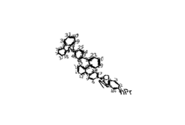 CCCc1ccc2oc(-c3ccc(-c4ccccc4-c4ccccc4-c4ccc(-n5c6ccccc6c6ccccc65)cc4)cc3)nc2c1